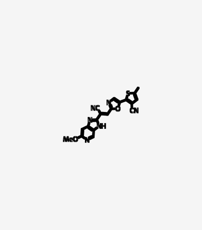 COc1cc2nc(/C(C#N)=C/c3ncc(-c4sc(C)cc4C#N)o3)[nH]c2cn1